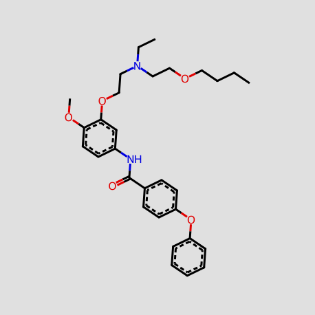 CCCCOCCN(CC)CCOc1cc(NC(=O)c2ccc(Oc3ccccc3)cc2)ccc1OC